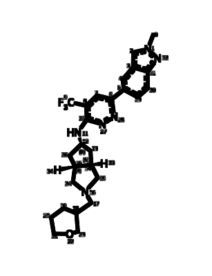 Cn1cc2cc(-c3cc(C(F)(F)F)c(N[C@@H]4C[C@@H]5CN(CC6CCCOC6)C[C@@H]5C4)nn3)ccc2n1